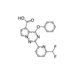 O=C(O)c1ccn2nc(-c3cccc(C(F)F)n3)nc(Oc3ccccc3)c12